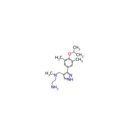 Cc1cc(-c2n[nH]cc2CN(C)CCN)cc(C)c1OC(C)C